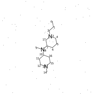 CCCN1CCCC(N(C)C2CCN(C)CC2)C1